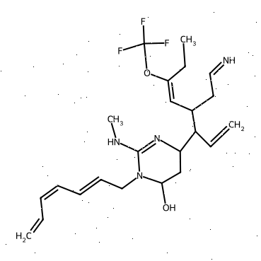 C=C/C=C\C=C\CN1C(NC)=NC(C(C=C)C(/C=C(\CC)OC(F)(F)F)CC=N)CC1O